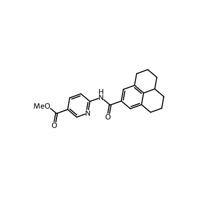 COC(=O)c1ccc(NC(=O)c2cc3c4c(c2)CCCC4CCC3)nc1